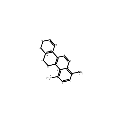 Cc1ccc(N)c2ccc3c(c12)CCC1=C3C=CCC1